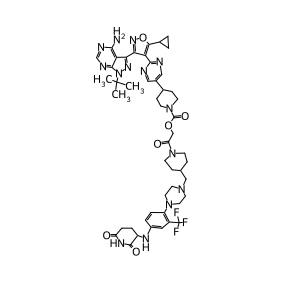 CC(C)(C)n1nc(-c2noc(C3CC3)c2-c2ncc(C3CCN(C(=O)OCC(=O)N4CCC(CN5CCN(c6ccc(NC7CCC(=O)NC7=O)cc6C(F)(F)F)CC5)CC4)CC3)cn2)c2c(N)ncnc21